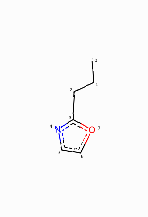 [CH2]CCc1ncco1